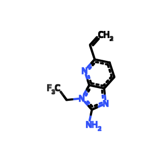 C=Cc1ccc2nc(N)n(CC(F)(F)F)c2n1